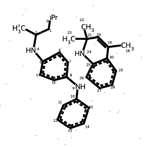 CC(C)CC(C)Nc1ccc(Nc2ccccc2)cc1.CC1=CC(C)(C)Nc2ccccc21